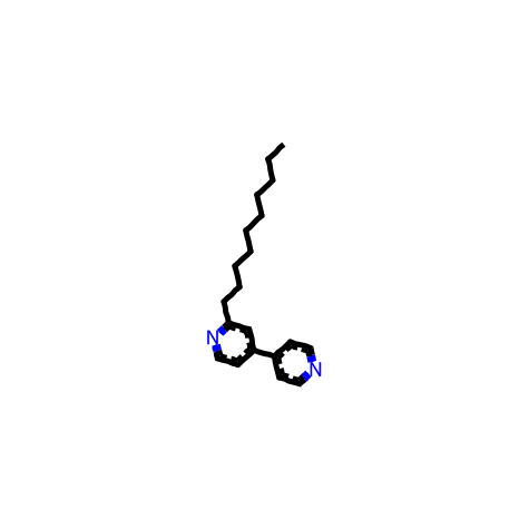 CCCCCCCCCCc1cc(-c2ccncc2)ccn1